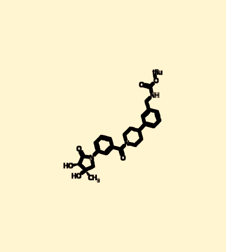 CC(C)(C)OC(=O)NCc1cccc(C2CCN(C(=O)c3cccc(N4C[C@@](C)(O)[C@@H](O)C4=O)c3)CC2)c1